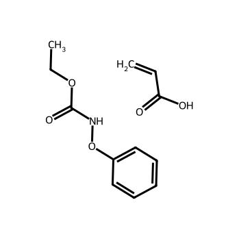 C=CC(=O)O.CCOC(=O)NOc1ccccc1